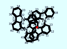 c1cc(-n2c3ccccc3c3cccc(-n4c5ccccc5c5ccccc54)c32)cc(-n2c3ccccc3c3cccc(-n4c5ccccc5c5ccccc54)c32)c1